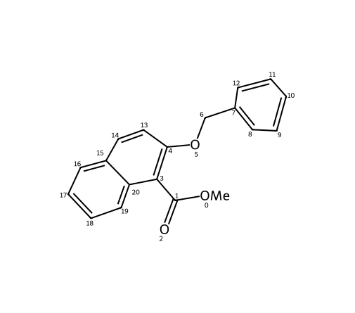 COC(=O)c1c(OCc2ccccc2)ccc2ccccc12